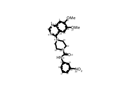 COc1cc2ncnc(N3CCN(C(=O)Nc4cccc([N+](=O)[O-])c4)CC3)c2cc1OC